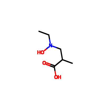 CCN(O)CC(C)C(=O)O